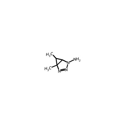 CC1C2N(N)N=NC12C